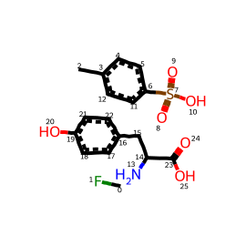 CF.Cc1ccc(S(=O)(=O)O)cc1.NC(Cc1ccc(O)cc1)C(=O)O